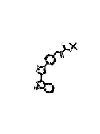 CC(C)(C)OC(=O)NCc1ccc(-n2cc(-c3n[nH]c4ccccc34)nn2)cc1